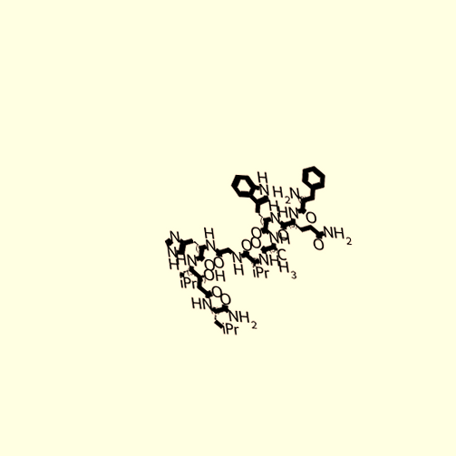 CC(C)C[C@H](NC(=O)C[C@H](O)[C@H](CC(C)C)NC(=O)[C@H](Cc1c[nH]cn1)NC(=O)CNC(=O)[C@@H](NC(=O)[C@H](C)NC(=O)[C@H](Cc1c[nH]c2ccccc12)NC(=O)[C@H](CCC(N)=O)NC(=O)[C@H](N)Cc1ccccc1)C(C)C)C(N)=O